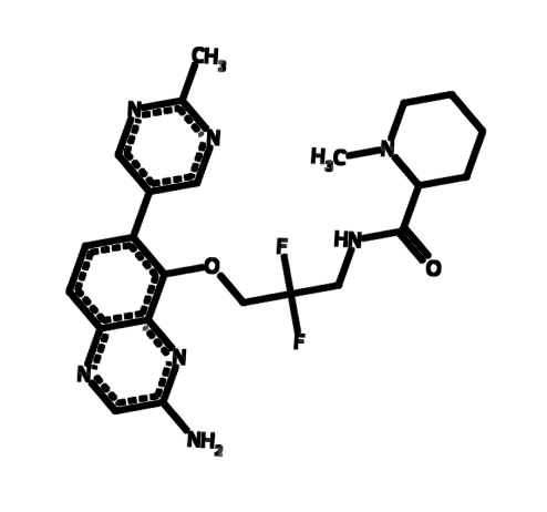 Cc1ncc(-c2ccc3ncc(N)nc3c2OCC(F)(F)CNC(=O)C2CCCCN2C)cn1